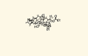 CCC(=O)OCC(=O)C1(OC(=O)CC)[C@H](C)C[C@H]2[C@H]3[C@H]([C@@H](O)C[C@@]21C)[C@@]1(C)CC2=CCN=C2C=C1C[C@H]3Cl